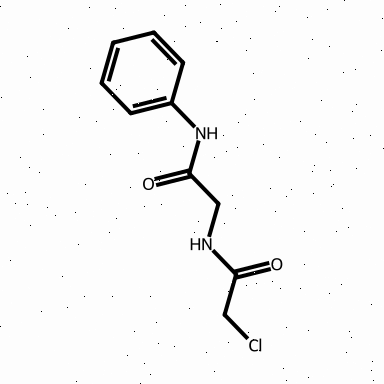 O=C(CCl)NCC(=O)Nc1ccccc1